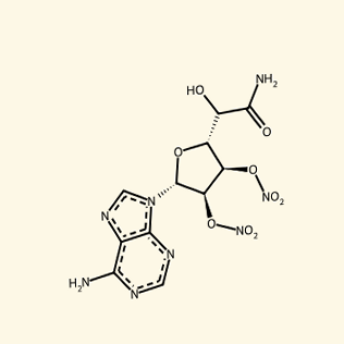 NC(=O)C(O)[C@H]1O[C@@H](n2cnc3c(N)ncnc32)[C@H](O[N+](=O)[O-])[C@@H]1O[N+](=O)[O-]